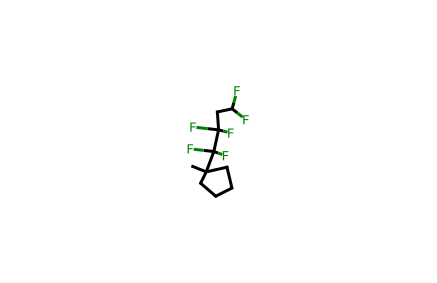 CC1(C(F)(F)C(F)(F)CC(F)F)CCCC1